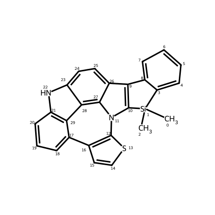 C[Si]1(C)c2ccccc2-c2c1n1c3sccc3c3cccc4[nH]c5ccc2c1c5c43